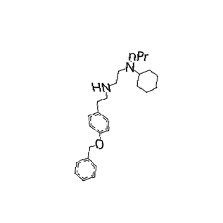 CCCN(CCNCCc1ccc(OCc2ccccc2)cc1)C1CCCCC1